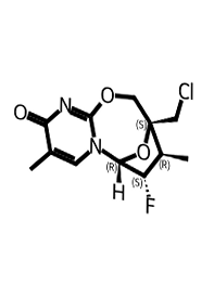 Cc1cn2c(nc1=O)OC[C@@]1(CCl)O[C@@H]2[C@@H](F)[C@@H]1C